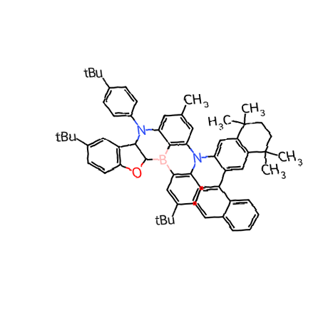 Cc1cc2c3c(c1)N(c1ccc(C(C)(C)C)cc1)C1c4cc(C(C)(C)C)ccc4OC1B3c1cc(C(C)(C)C)ccc1N2c1cc2c(cc1-c1cccc3ccccc13)C(C)(C)CCC2(C)C